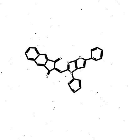 S=C1C(=Cc2nc3oc(-c4ccccc4)cc3n2-c2ccccc2)C(=S)c2cc3ccccc3cc21